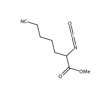 COC(=O)C(CCCCC#N)N=C=O